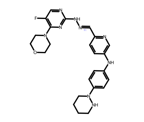 Fc1cnc(N/N=C/c2ccc(Nc3ccc(N4CCCCN4)cc3)cn2)nc1N1CCOCC1